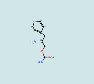 NC(=O)OC[C@H](N)CC1=CCCC=C1